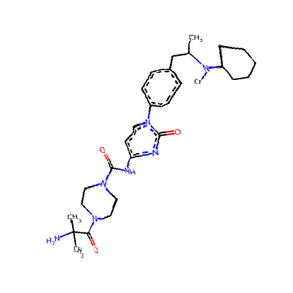 CCN(C(C)Cc1ccc(-n2ccc(NC(=O)N3CCN(C(=O)C(C)(C)N)CC3)nc2=O)cc1)C1CCCCC1